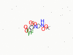 COC(=O)c1cc(S(C)(=O)=O)c(N2CCC(NC(=O)OC(C)(C)C)CC2)cc1C(F)(F)F